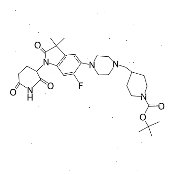 CC(C)(C)OC(=O)N1CCC(CN2CCN(c3cc4c(cc3F)N(C3CCC(=O)NC3=O)C(=O)C4(C)C)CC2)CC1